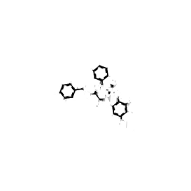 C[C@H](NP(=O)(Oc1ccccc1)Oc1ccc(C(F)(F)F)cc1Cl)C(=O)OCc1ccccc1